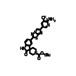 CC(C)(C)OC(=O)N1CCC2(CC1)C(=O)Nc1ccc(-c3nn4cc(-c5cnc(N)c(C(F)(F)F)c5)nc4s3)cc12